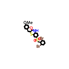 COc1ccc(/C=C2/Sc3cc(S(=O)(=O)Cc4c(Br)cccc4Br)ccc3NC2=O)cc1